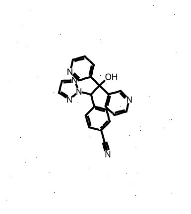 N#Cc1ccc(C(n2nccn2)C(O)(c2cccnc2)c2cccnc2)cc1